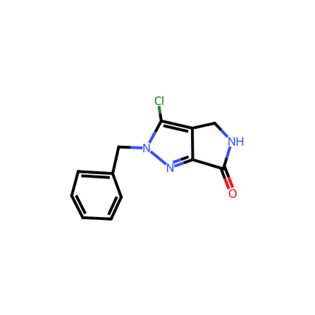 O=C1NCc2c1nn(Cc1ccccc1)c2Cl